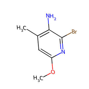 COc1cc(C)c(N)c(Br)n1